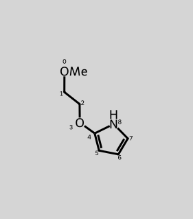 COCCOc1ccc[nH]1